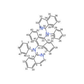 c1ccc(N(c2nccc3ccccc23)c2c3ccccc3c(N(c3ccccc3)c3nccc4ccccc34)c3ccccc23)cc1